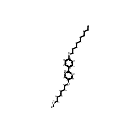 CCCCCCCCCCOc1ccc(-c2ncc(OCCCCCCOC)cn2)cc1